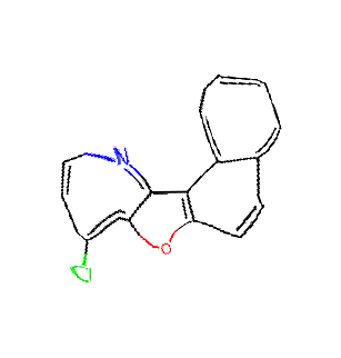 Clc1ccnc2c1oc1ccc3ccccc3c12